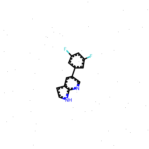 Fc1cc(F)cc(-c2cnc3[nH]ccc3c2)c1